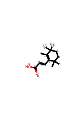 [2H]C1([2H])CCC(C)(C)C(/C=C/C(=O)O)=C1C